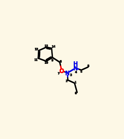 CCCN(NCC)OCc1ccccc1